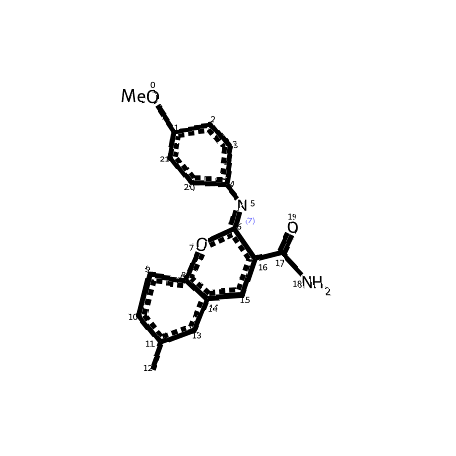 COc1ccc(/N=c2\oc3ccc(C)cc3cc2C(N)=O)cc1